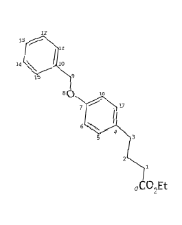 CCOC(=O)CCCc1ccc(OCc2ccccc2)cc1